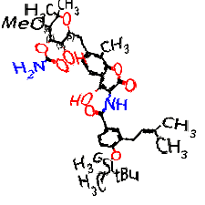 CO[C@@H]1[C@@H](OC(N)=O)[C@@H](O)[C@H](Cc2ccc3c(O)c(NC(=O)c4ccc(O[Si](C)(C)C(C)(C)C)c(CC=C(C)C)c4)c(=O)oc3c2C)OC1(C)C